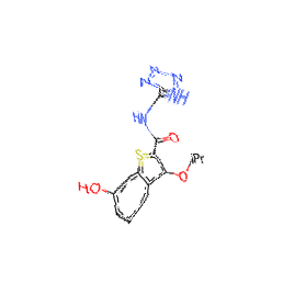 CC(C)Oc1c(C(=O)Nc2nnn[nH]2)sc2c(O)cccc12